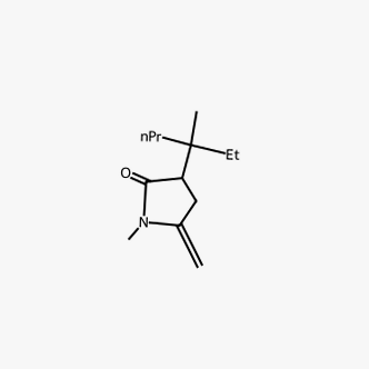 C=C1CC(C(C)(CC)CCC)C(=O)N1C